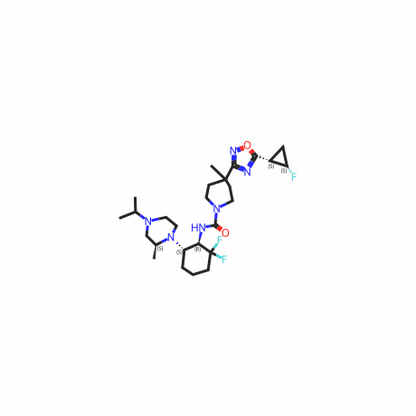 CC(C)N1CCN([C@H]2CCCC(F)(F)[C@@H]2NC(=O)N2CCC(C)(c3noc([C@@H]4C[C@@H]4F)n3)CC2)[C@@H](C)C1